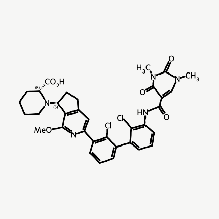 COc1nc(-c2cccc(-c3cccc(NC(=O)c4cn(C)c(=O)n(C)c4=O)c3Cl)c2Cl)cc2c1[C@@H](N1CCCC[C@@H]1C(=O)O)CC2